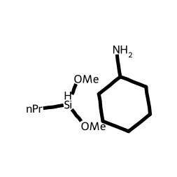 CCC[SiH](OC)OC.NC1CCCCC1